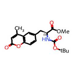 COC(=O)[C@H](Cc1ccc2oc(=O)cc(C)c2c1)NC(=O)OC(C)(C)C